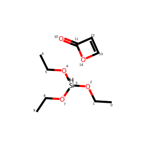 CCO[SiH](OCC)OCC.O=C1C=CO1